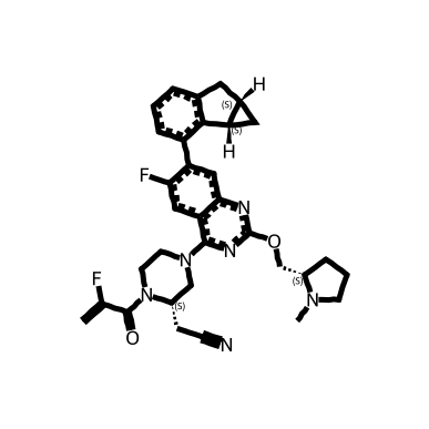 C=C(F)C(=O)N1CCN(c2nc(OC[C@@H]3CCCN3C)nc3cc(-c4cccc5c4[C@H]4C[C@H]4C5)c(F)cc23)C[C@@H]1CC#N